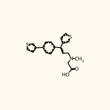 CN(C/C=C(/c1ccc(-c2ccsc2)cc1)c1ccsc1)CC(=O)O